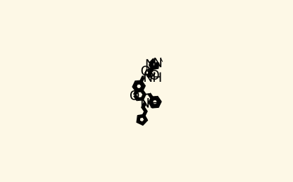 Cn1cnc(S(=O)(=O)NCc2ccc3c(c2)[C@@H](Cc2ccccc2)[C@@H](NCCC2CCCC2)CO3)c1